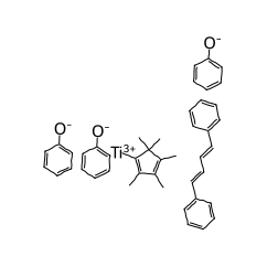 C(C=Cc1ccccc1)=Cc1ccccc1.CC1=C(C)C(C)(C)[C]([Ti+3])=C1C.[O-]c1ccccc1.[O-]c1ccccc1.[O-]c1ccccc1